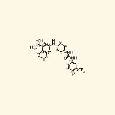 CN(C)c1nc(N[C@H]2CC[C@@H](NC(=O)Nc3ccc(F)c(C(F)(F)F)c3)CC2)nc2c1CCCC2